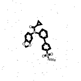 CNS(=O)(=O)c1ccc(-c2cccc(N(C(=O)C3CC3)c3ccc4c(c3)OCO4)c2)cc1